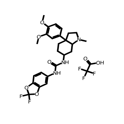 COc1ccc(C23CCC(NC(=O)Nc4ccc5c(c4)OC(F)(F)O5)CC2N(C)CC3)cc1OC.O=C(O)C(F)(F)F